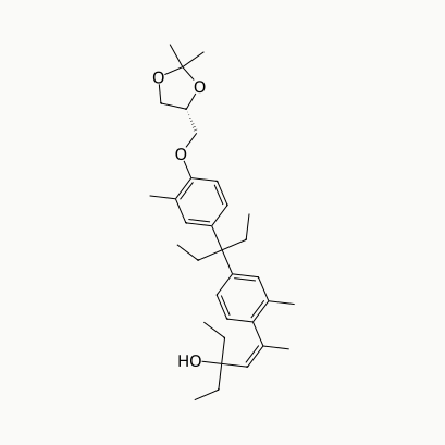 CCC(O)(/C=C(/C)c1ccc(C(CC)(CC)c2ccc(OC[C@@H]3COC(C)(C)O3)c(C)c2)cc1C)CC